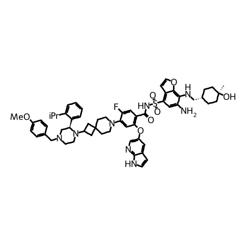 COc1ccc(CN2CCN(C3CC4(CCN(c5cc(Oc6cnc7[nH]ccc7c6)c(C(=O)NS(=O)(=O)c6cc(N)c(NC[C@H]7CC[C@](C)(O)CC7)c7occc67)cc5F)CC4)C3)[C@H](c3ccccc3C(C)C)C2)cc1